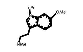 CCCn1cc(CCNC)c2ccc(OC)cc21